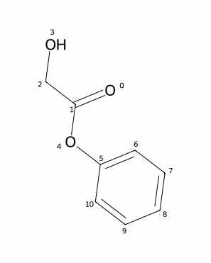 O=C(CO)Oc1ccccc1